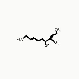 CCC=CCCC(O)C(C)=CCC